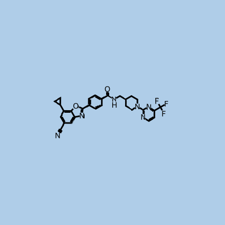 N#Cc1cc(C2CC2)c2oc(-c3ccc(C(=O)NCC4CCN(c5nccc(C(F)(F)F)n5)CC4)cc3)nc2c1